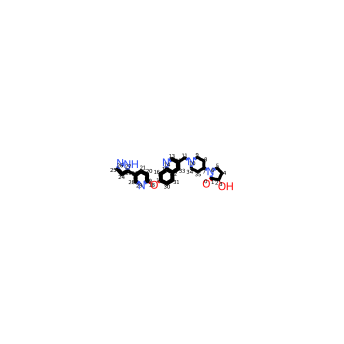 O=C1[C@@H](O)CCN1C1CCN(Cc2cnc3cc(Oc4ccc(-c5ccn[nH]5)cn4)ccc3c2)CC1